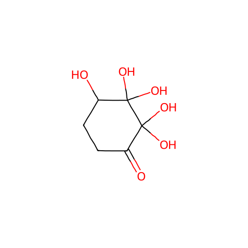 O=C1CCC(O)C(O)(O)C1(O)O